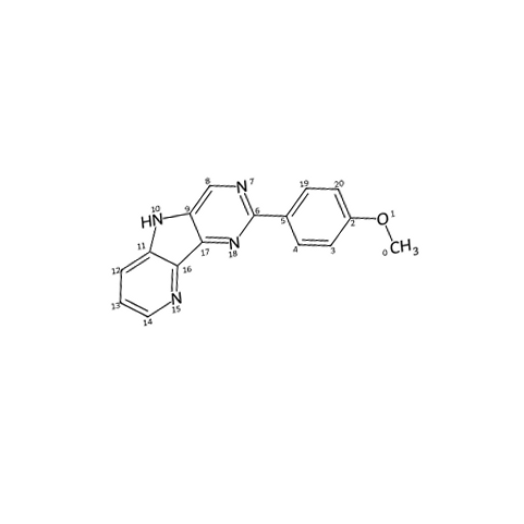 COc1ccc(-c2ncc3[nH]c4cccnc4c3n2)cc1